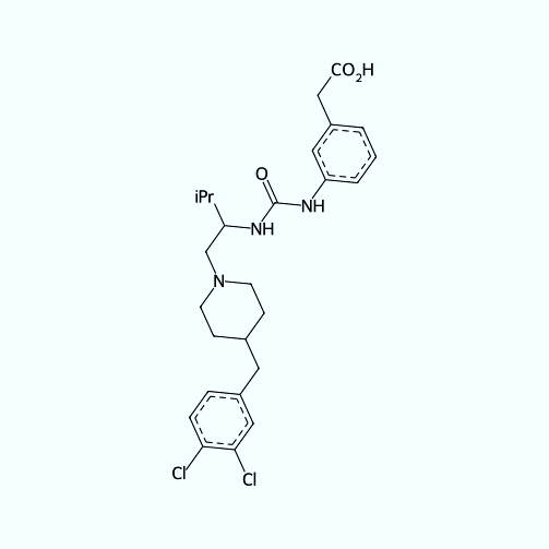 CC(C)C(CN1CCC(Cc2ccc(Cl)c(Cl)c2)CC1)NC(=O)Nc1cccc(CC(=O)O)c1